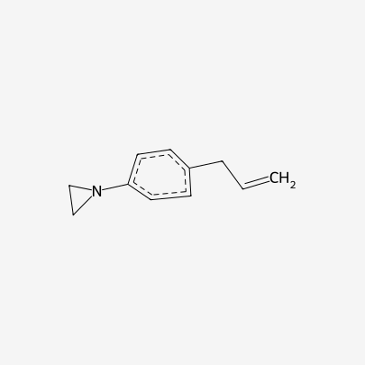 C=CCc1ccc(N2CC2)cc1